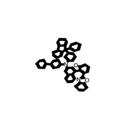 c1ccc(-c2ccc(N(c3cccc(C4(c5ccccc5)c5ccccc5-c5ccccc54)c3)c3cc4ccccc4c4c3oc3cccc(-c5nc6ccccc6o5)c34)cc2)cc1